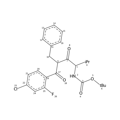 CC(C)C(NC(=O)OC(C)(C)C)C(=O)C(Cc1ccccc1)C(=O)c1ccc(Cl)cc1F